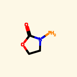 O=C1OCCN1P